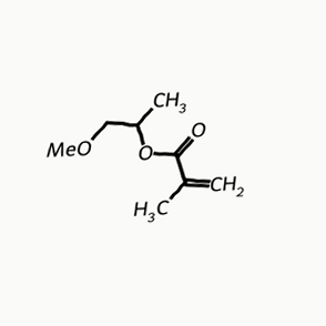 C=C(C)C(=O)OC(C)COC